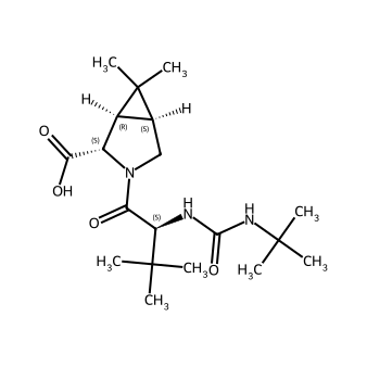 CC(C)(C)NC(=O)N[C@H](C(=O)N1C[C@H]2[C@@H]([C@H]1C(=O)O)C2(C)C)C(C)(C)C